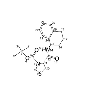 CC(C)(C)OC(=O)N1CSC[C@H]1C(=O)N[C@@H]1CCCc2ccccc21